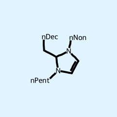 CCCCCCCCCCCC1N(CCCCC)C=CN1CCCCCCCCC